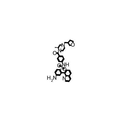 C[C@H]1CN(CC2CCOC2)CCN1C(=O)c1ccc(NS(=O)(=O)c2ccc(N)cc2-c2cccc3cccnc23)cc1